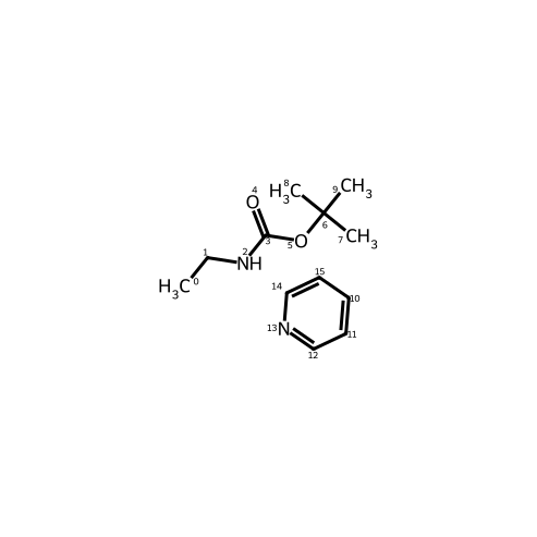 CCNC(=O)OC(C)(C)C.c1ccncc1